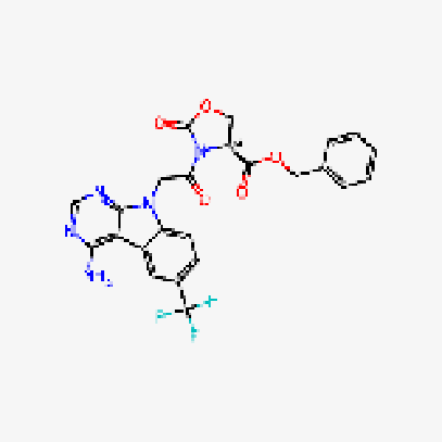 Nc1ncnc2c1c1cc(C(F)(F)F)ccc1n2CC(=O)N1C(=O)OC[C@H]1C(=O)OCc1ccccc1